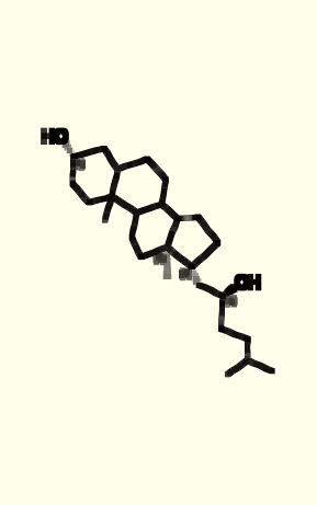 CC(C)CC[C@H](O)C[C@H]1CCC2C3CCC4C[C@@H](O)CCC4(C)C3CC[C@@]21C